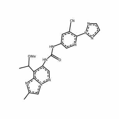 COC(C)c1c(NC(=O)Nc2cnc(-n3nccn3)c(C#N)c2)cnn2cc(C)nc12